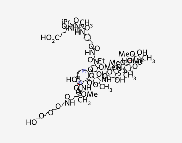 CCN(C(=O)CNC(=O)OCc1ccc(NC(=O)[C@H](C)NC(=O)[C@@H](NC(=O)CCCC(=O)O)C(C)C)cc1)C1COC(OC2C(O[C@H]3C#C/C=C\C#C[C@]4(O)CC(=O)C(NC(=O)OC)C3/C4=C\CSSC(C)CCC(=O)NCCOCCOCCOCCO)OC(C)C(NOC3CC(O)C(SC(=O)c4c(C)c(I)c(OC5OC(C)C(O)C(OC)C5O)c(OC)c4OC)C(C)O3)C2O)CC1OC